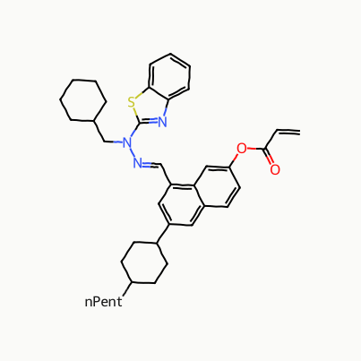 C=CC(=O)Oc1ccc2cc(C3CCC(CCCCC)CC3)cc(/C=N/N(CC3CCCCC3)c3nc4ccccc4s3)c2c1